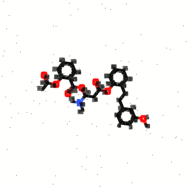 COc1cccc(CCc2ccccc2OC(=O)CC(OC(=O)c2ccccc2OC(C)=O)N(C)C)c1